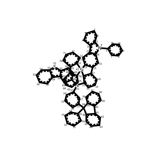 c1ccc(-n2c3ccccc3c3cc4c(cc32)-c2cccc(N(c3cccc(C5(c6ccccc6)c6ccccc6-c6ccccc65)c3)c3ccc5sc6ccccc6c5c3)c2[Si]42c3ccccc3-c3ccccc32)cc1